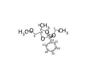 CCO[Si](OCC)(OCCOC)c1ccccc1